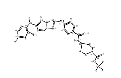 CN(c1ccc2nc(Nc3ccc(C(=O)NC4CCN(C(=O)OC(C)(C)C)CC4)cn3)sc2n1)c1ccc(F)cc1F